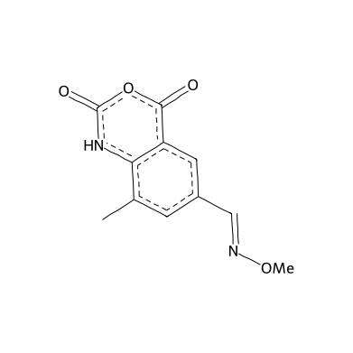 CO/N=C/c1cc(C)c2[nH]c(=O)oc(=O)c2c1